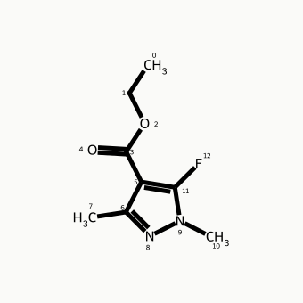 CCOC(=O)c1c(C)nn(C)c1F